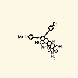 CCc1ccc(C#Cc2cc(C#Cc3ccc(OC)cc3)c(O)c3c2CC2C[C@H]4CC(O)=C(C(N)=O)C(=O)[C@@]4(O)C(O)=C2C3=O)cc1